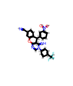 N#Cc1ccc2c(c1)Oc1ncn(-c3ccc(C(F)(F)F)cc3)c(=N)c1C2c1cccc([N+](=O)[O-])c1